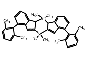 CC[Si]1(C)C2=Cc3c(-c4c(C)cccc4C)cccc3[CH]2[Hf]([CH3])([CH3])[CH]2C1=Cc1c(-c3c(C)cccc3C)cccc12